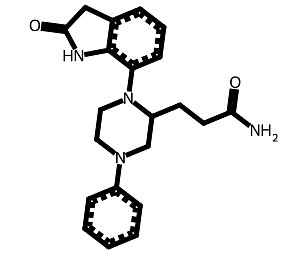 NC(=O)CCC1CN(c2ccccc2)CCN1c1cccc2c1NC(=O)C2